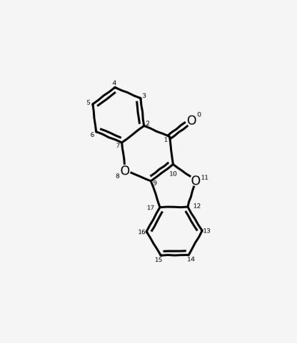 O=c1c2ccccc2oc2c1oc1ccccc12